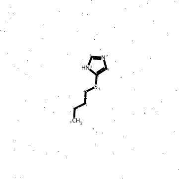 [CH2]CCCSc1cnc[nH]1